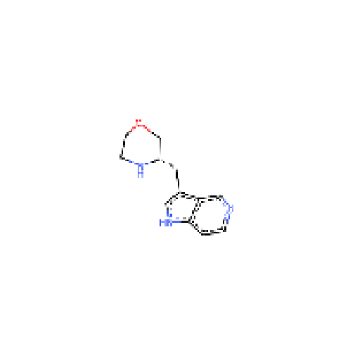 c1cc2[nH]cc(C[C@H]3COCCN3)c2cn1